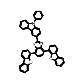 c1ccc(-n2c3ccccc3c3cc(-c4nc5c(-c6cccc7c6oc6ccccc67)ccc(-c6cccc7c6oc6ccccc67)c5s4)ccc32)cc1